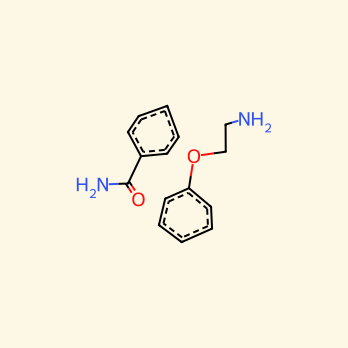 NC(=O)c1ccccc1.NCCOc1ccccc1